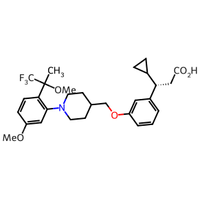 COc1ccc(C(C)(OC)C(F)(F)F)c(N2CCC(COc3cccc([C@@H](CC(=O)O)C4CC4)c3)CC2)c1